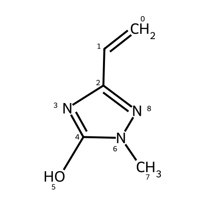 C=Cc1nc(O)n(C)n1